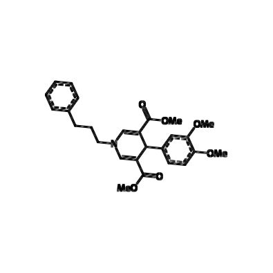 COC(=O)C1=CN(CCCc2ccccc2)C=C(C(=O)OC)C1c1ccc(OC)c(OC)c1